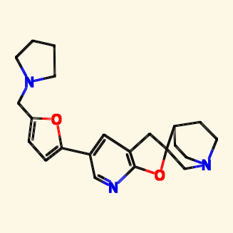 c1nc2c(cc1-c1ccc(CN3CCCC3)o1)CC1(CN3CCC1CC3)O2